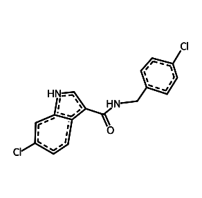 O=C(NCc1ccc(Cl)cc1)c1c[nH]c2cc(Cl)ccc12